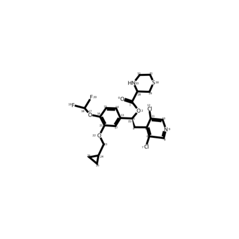 O=C(O[C@@H](Cc1c(Cl)cncc1Cl)c1ccc(OC(F)F)c(OCC2CC2)c1)C1CSCCN1